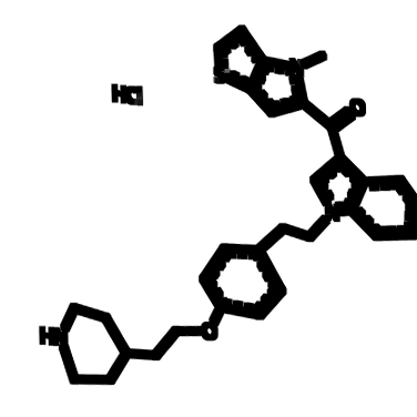 Cl.Cn1c(C(=O)c2cn(CCc3ccc(OCCC4CCNCC4)cc3)c3ccccc23)cc2sccc21